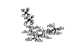 CCCC[N+](CCCC)(CCCC)CCCC.CCCC[N+](CCCC)(CCCC)CCCC.CCCC[N+](CCCC)(CCCC)CCCC.CCCC[N+](CCCC)(CCCC)CCCC.[O]=[W](=[O])([O-])[O-].[O]=[W](=[O])([O-])[O-]